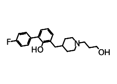 OCCCN1CCC(Cc2cccc(-c3ccc(F)cc3)c2O)CC1